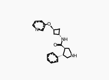 O=C(N[C@H]1C[C@H](Oc2cccnc2)C1)[C@H]1CNC[C@@H]1c1ccccc1